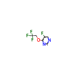 Fc1cn[c]nc1OCC(F)(F)F